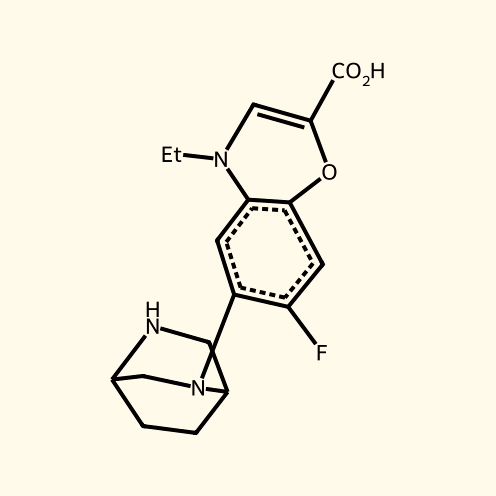 CCN1C=C(C(=O)O)Oc2cc(F)c(N3CC4CCC3CN4)cc21